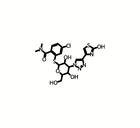 CN(C)C(=O)c1ccc(Cl)cc1SC1OC(CO)C(O)C(n2cc(-c3csc(O)n3)nn2)C1O